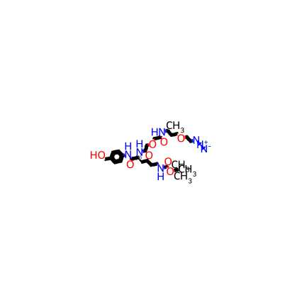 CC(CCOCCN=[N+]=[N-])NC(=O)COCC(=O)N[C@@H](CCCCNC(=O)OC(C)(C)C)C(=O)Nc1ccc(CO)cc1